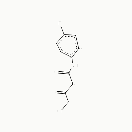 O=C(CCl)CC(=O)Nc1ccc(F)cc1